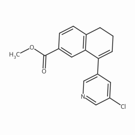 COC(=O)c1ccc2c(c1)C(c1cncc(Cl)c1)=CCC2